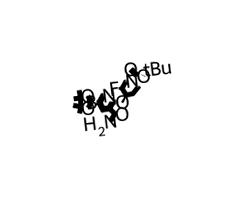 CC(C)(C)OC(=O)N1CC[C@@H](Oc2ncc(B3OC(C)(C)C(C)(C)O3)cc2C(N)=O)[C@@H](F)C1